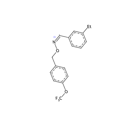 CCc1cccc(/[C]=N\OCc2ccc(OC(F)(F)F)cc2)c1